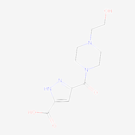 O=C(O)c1cc(C(=O)N2CCN(CCO)CC2)n[nH]1